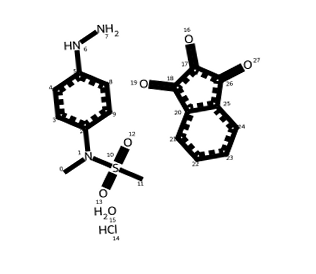 CN(c1ccc(NN)cc1)S(C)(=O)=O.Cl.O.O=c1c(=O)c2ccccc2c1=O